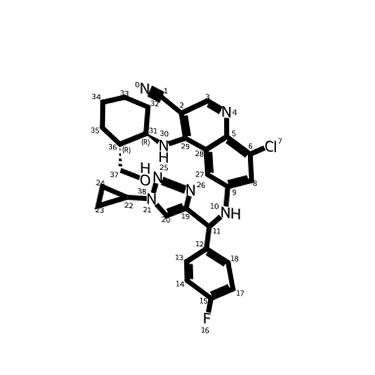 N#Cc1cnc2c(Cl)cc(NC(c3ccc(F)cc3)c3cn(C4CC4)nn3)cc2c1N[C@@H]1CCCC[C@H]1CO